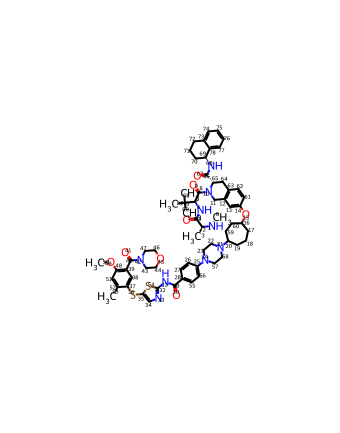 CN[C@@H](C)C(=O)N[C@H](C(=O)N1Cc2cc(OC3CCCC(N4CCN(c5ccc(C(=O)Nc6ncc(Sc7cc(C(=O)N8CCOCC8)c(OC)cc7C)s6)cc5)CC4)CC3)ccc2C[C@H]1C(=O)N[C@@H]1CCCc2ccccc21)C(C)(C)C